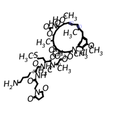 COc1cc2cc(c1Cl)N(C)C(=O)CC(OC(=O)[C@H](C)N(C)C(=O)C(CCSC)NC(=O)[C@@H](CCCCN)NC(=O)CCN1C(=O)CCC1=O)C1(C)OC1C(C)C1CC(O)(NC(=O)O1)C(OC)/C=C/C=C(\C)C2